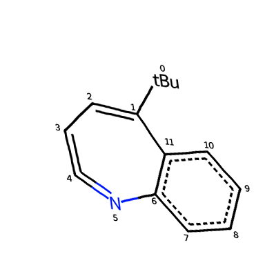 CC(C)(C)C1=CC=C=Nc2ccccc21